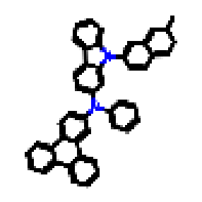 CC1C=c2cc(-n3c4ccccc4c4ccc(N(c5ccccc5)c5ccc6c7ccccc7c7ccccc7c6c5)cc43)ccc2=CC1